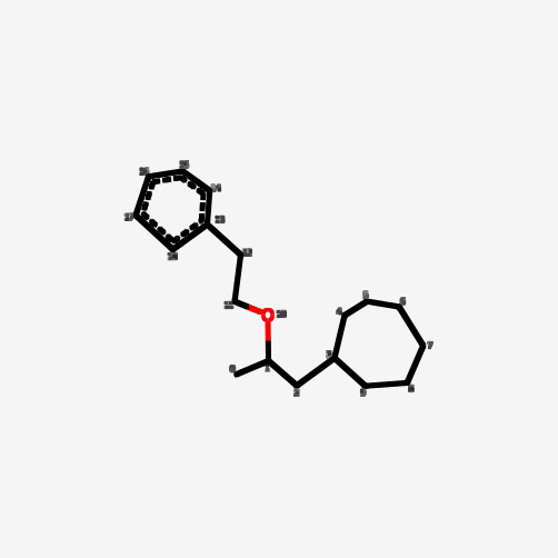 CC(CC1CCCCCC1)OCCc1ccccc1